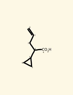 C=CCC(C(=O)O)C1CC1